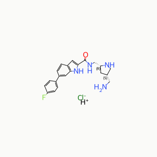 NC[C@H]1CN[C@@H](CNC(=O)c2cc3ccc(-c4ccc(F)cc4)cc3[nH]2)C1.[Cl-].[H+]